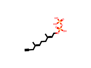 C#CC/C(C)=C/CC/C(C)=C/COP(=O)(O)OP(=O)(O)O